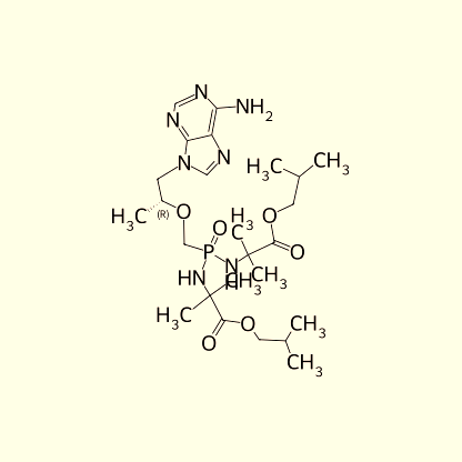 CC(C)COC(=O)C(C)(C)NP(=O)(CO[C@H](C)Cn1cnc2c(N)ncnc21)NC(C)(C)C(=O)OCC(C)C